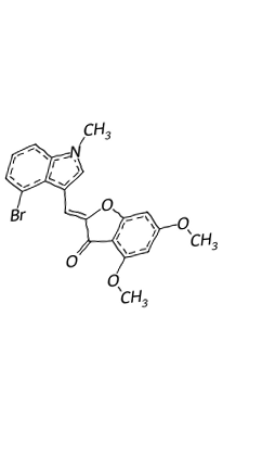 COc1cc(OC)c2c(c1)O/C(=C\c1cn(C)c3cccc(Br)c13)C2=O